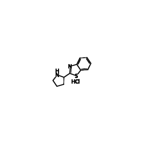 Cl.c1ccc2sc(C3CCCN3)nc2c1